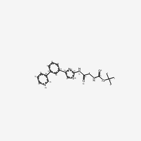 CC(C)(C)OC(=O)NCC(=O)Nc1nc(-c2cccc(-c3cccnc3)c2)cs1